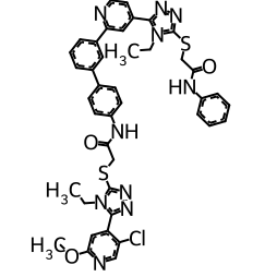 CCn1c(SCC(=O)Nc2ccccc2)nnc1-c1ccnc(-c2cccc(-c3ccc(NC(=O)CSc4nnc(-c5cc(OC)ncc5Cl)n4CC)cc3)c2)c1